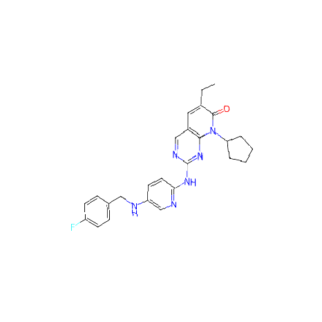 CCc1cc2cnc(Nc3ccc(NCc4ccc(F)cc4)cn3)nc2n(C2CCCC2)c1=O